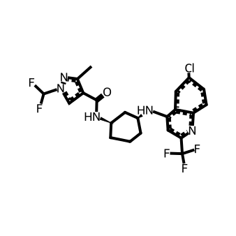 Cc1nn(C(F)F)cc1C(=O)N[C@@H]1CCC[C@H](Nc2cc(C(F)(F)F)nc3ccc(Cl)cc23)C1